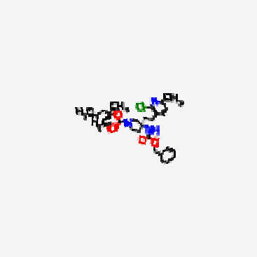 CCCC(C)(C)OC(=O)N1CC[C@](CCc2ccc(C)nc2Cl)(NC(=O)OCc2ccccc2)C1